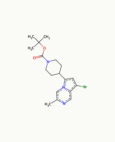 Cc1cn2c(C3CCN(C(=O)OC(C)(C)C)CC3)cc(Br)c2cn1